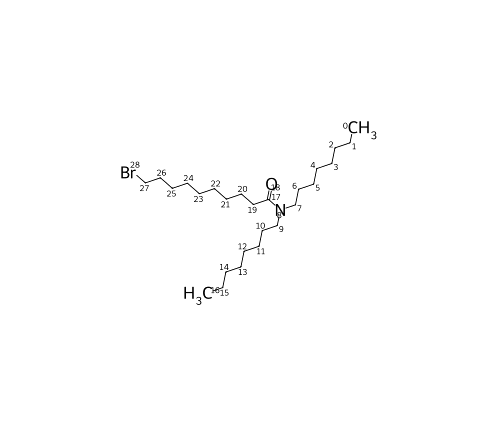 CCCCCCCCN(CCCCCCCC)C(=O)CCCCCCCCCBr